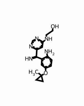 CC1(Oc2ccc(N)c(C(=N)c3cc(NCCO)ncn3)c2)CC1